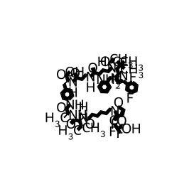 CC(=O)N(CC[C@H](N)C(=O)NCCC(=O)N[C@@H](Cc1ccc(NC(=O)[C@H](C)NC(=O)[C@@H](NC(=O)CCCCCN2C(=O)C=CC2=O)C(C)C)cc1)C(=O)O)[C@@H](c1nc(-c2cc(F)ccc2F)cn1Cc1ccccc1)C(C)(C)C.O=C(O)C(F)(F)F